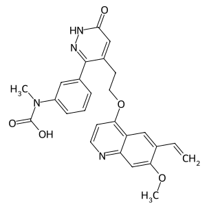 C=Cc1cc2c(OCCc3cc(=O)[nH]nc3-c3cccc(N(C)C(=O)O)c3)ccnc2cc1OC